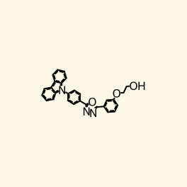 OCCOc1cccc(-c2nnc(-c3ccc(-n4c5ccccc5c5ccccc54)cc3)o2)c1